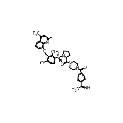 Cc1cc(C(F)(F)F)c2cccc(OCc3c(Cl)ccc(S(=O)(=O)N4CCC[C@H]4C(=O)N4CCN(C(=O)c5ccc(C(=N)N)cc5)CC4)c3Cl)c2n1